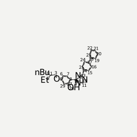 CCCCC(CC)COc1ccc(-c2ncnc(-c3ccc(-c4ccccc4)cc3)n2)c(O)c1